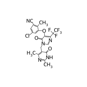 Cc1nc(C)c(Cn2cnc(C(F)(F)C(F)(F)F)c(Oc3cc(Cl)cc(C#N)c3C)c2=O)c(=O)[nH]1